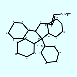 CCCCCCCC=CCC(C1CCCCC1)C(C1CCCCC1)(C1CCCCC1)C1CCCCC1